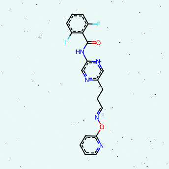 O=C(Nc1cnc(CC/C=N/Oc2ccccn2)cn1)c1c(F)cccc1F